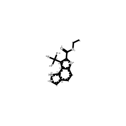 CCOC(=O)c1oc2ccc3cn[nH]c3c2c1C(F)(F)F